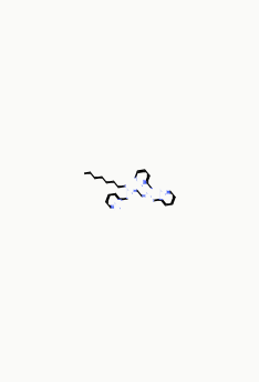 CCCCCCCCN(CCN(Cc1ccccn1)Cc1ccccn1)Cc1ccccn1